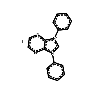 [I-].c1ccc(-n2c[n+](-c3ccccc3)c3nccnc32)cc1